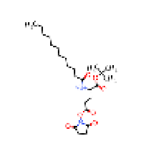 CCCCCCCCCCCC(=O)N[C@@H](CCC(=O)ON1C(=O)CCC1=O)C(=O)OC(C)(C)C